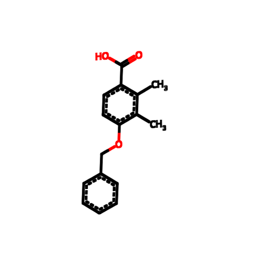 Cc1c(OCc2ccccc2)ccc(C(=O)O)c1C